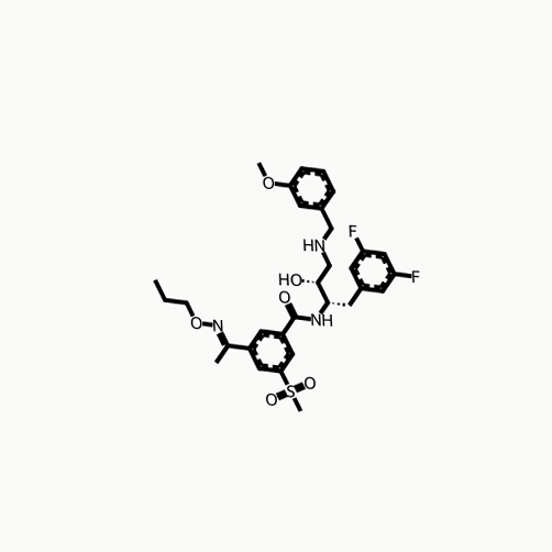 CCCO/N=C(\C)c1cc(C(=O)N[C@@H](Cc2cc(F)cc(F)c2)[C@H](O)CNCc2cccc(OC)c2)cc(S(C)(=O)=O)c1